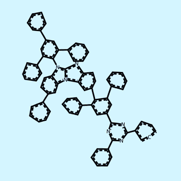 c1ccc(-c2cc(-c3ccccc3)c(-n3c4ccc(-c5ccccc5)cc4n4c5cc(-c6c(-c7ccccc7)cc(-c7nc(-c8ccccc8)nc(-c8ccccc8)n7)cc6-c6ccccc6)ccc5nc34)c(-c3ccccc3)c2)cc1